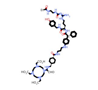 CCC(=O)NCCNC(=O)/N=C(/N)NCCC[C@@H](NC(=O)[C@H](c1ccccc1)c1ccc(NCCCNC(=O)[C@H]2CC[C@H](CNC(C=O)N3CCN(CC(=O)O)CCN(CC(=O)O)CCN(CC(=O)O)CC3)CC2)cc1)C(=O)NCc1ccc(O)cc1